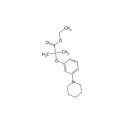 CCOC(=O)C(C)(C)Oc1cccc(N2CCCCC2)c1